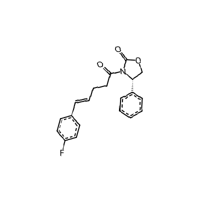 O=C(CCC=Cc1ccc(F)cc1)N1C(=O)OC[C@@H]1c1ccccc1